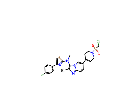 CCc1nc2ccc(C3=CCN(S(=O)(=O)CCl)CC3)cn2c1N(C)c1nc(-c2ccc(F)cc2)cs1